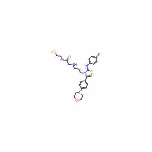 O=C(CNCCCn1c(-c2ccc(N3CCOCC3)cc2)cs/c1=N\c1ccc(F)cc1)NCCO